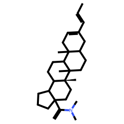 C=C(N(C)C)C12CCCC1C1CCC3C4(C)CC=C(/C=C/C)CC4CCC3(C)[C@]1(C)CC2